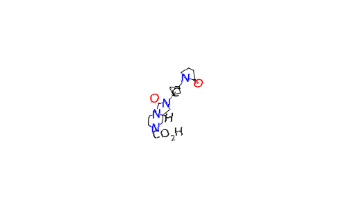 O=C(O)N1CCN2C(=O)N(C34CC(N5CCCC5=O)(C3)C4)C[C@@H]2C1